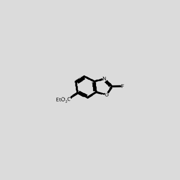 CCOC(=O)c1ccc2nc(F)oc2c1